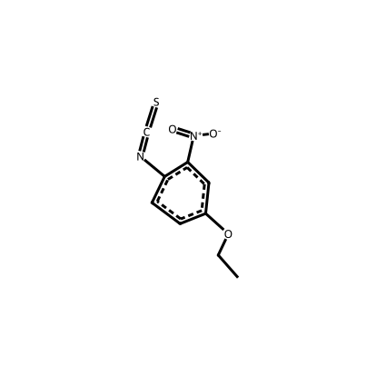 CCOc1ccc(N=C=S)c([N+](=O)[O-])c1